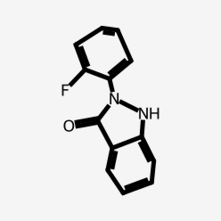 O=c1c2ccccc2[nH]n1-c1ccccc1F